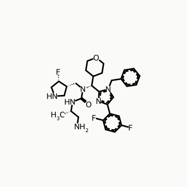 C[C@@H](CN)NC(=O)N(C[C@@H]1CNC[C@@H]1F)[C@@H](c1nc(-c2cc(F)ccc2F)cn1Cc1ccccc1)C1CCOCC1